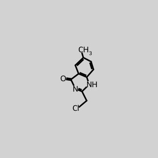 Cc1ccc2[nH]c(CCl)nc(=O)c2c1